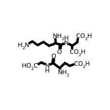 NC(CCC(=O)O)C(=O)NCC(=O)O.NCCCCC(N)C(=O)NC(CC(=O)O)C(=O)O